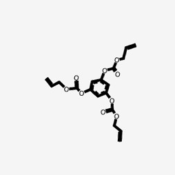 C=CCOC(=O)Oc1cc(OC(=O)OCC=C)cc(OC(=O)OCC=C)c1